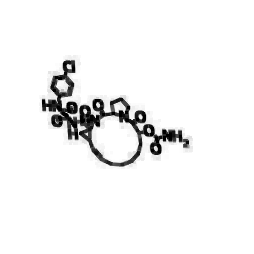 NC(=O)OC1CCCCC/C=C\C2CC2(C(=O)NS(=O)(=O)Nc2ccc(Cl)cc2)NC(=O)C2CCCN2C1=O